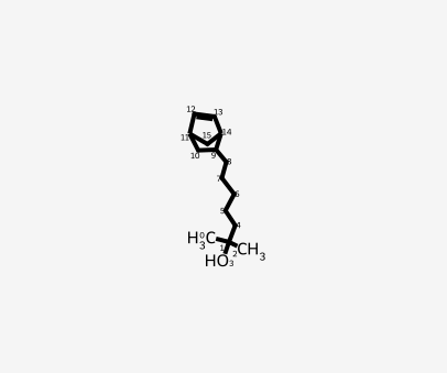 CC(C)(O)CCCCCC1CC2C=CC1C2